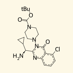 CC(C)(C)OC(=O)N1CCN(n2c([C@@H](N)C3CC3)nc3cccc(Cl)c3c2=O)CC1